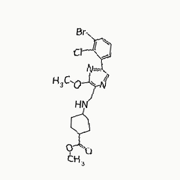 COC(=O)C1CCC(NCc2ncc(-c3cccc(Br)c3Cl)nc2OC)CC1